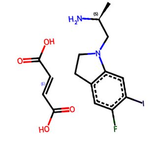 C[C@H](N)CN1CCc2cc(F)c(I)cc21.O=C(O)/C=C/C(=O)O